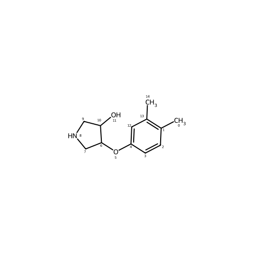 Cc1ccc(OC2CNCC2O)cc1C